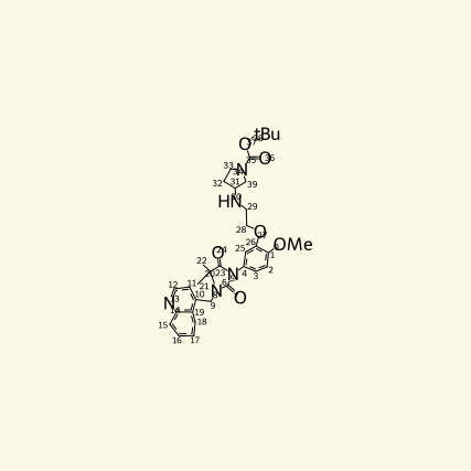 COc1ccc(N2C(=O)N(Cc3ccnc4ccccc34)C(C)(C)C2=O)cc1OCCNC1CCN(C(=O)OC(C)(C)C)C1